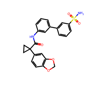 NS(=O)(=O)c1cccc(-c2cccc(NC(=O)C3(c4ccc5c(c4)OCO5)CC3)c2)c1